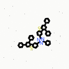 c1ccc(-c2cc(-c3ccccc3)c3c(c2)sc2ccc(-c4nc(-c5ccccc5)nc(-c5ccc6sc7cc(-c8ccccc8)cc(-c8ccccc8)c7c6c5)n4)cc23)cc1